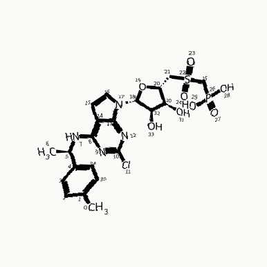 Cc1ccc([C@@H](C)Nc2nc(Cl)nc3c2ccn3[C@@H]2O[C@H](CS(=O)(=O)CP(=O)(O)O)[C@@H](O)[C@H]2O)cc1